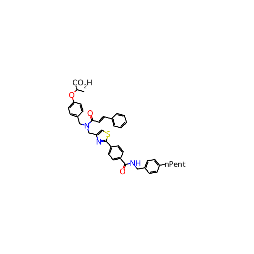 CCCCCc1ccc(CNC(=O)c2ccc(-c3nc(CN(Cc4ccc(OC(C)C(=O)O)cc4)C(=O)/C=C/c4ccccc4)cs3)cc2)cc1